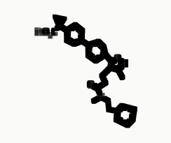 CCOC(=O)C1(c2ccc(-c3ccc(-c4onc(C)c4CCC(=O)N(C)CCc4ccccc4)cc3)cc2)CC1